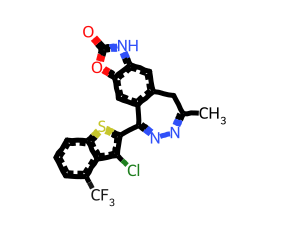 CC1=NN=C(c2sc3cccc(C(F)(F)F)c3c2Cl)c2cc3oc(=O)[nH]c3cc2C1